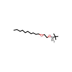 CCCCCCCCCCOCCO[SiH2]C(C)(C)C